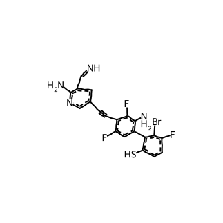 N=Cc1cc(C#Cc2c(F)cc(-c3c(S)ccc(F)c3Br)c(N)c2F)cnc1N